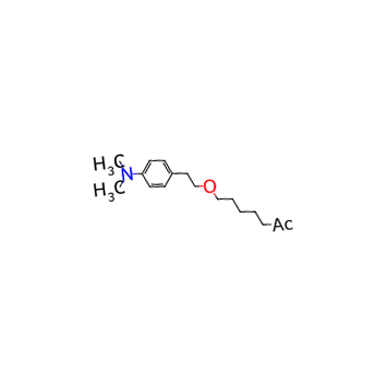 CC(=O)CCCCCOCCc1ccc(N(C)C)cc1